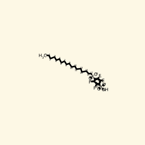 CCCCCCCCCCCCCCCCCCS(=O)(=O)c1c(F)c(F)c(S(=O)(=O)O)c(F)c1F